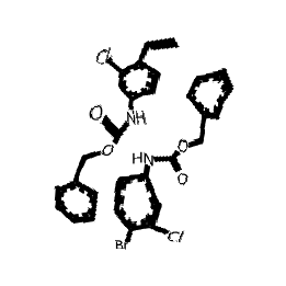 C=Cc1ccc(NC(=O)OCc2ccccc2)cc1Cl.O=C(Nc1ccc(Br)c(Cl)c1)OCc1ccccc1